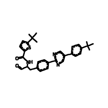 CC(C)(C)c1ccc(-c2cnc(-c3ccc(CC(C=O)NC(=O)c4ccc(C(C)(C)C)s4)cc3)nc2)cc1